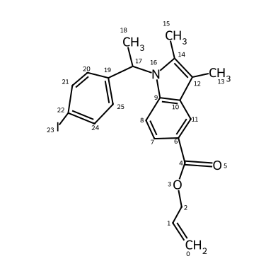 C=CCOC(=O)c1ccc2c(c1)c(C)c(C)n2C(C)c1ccc(I)cc1